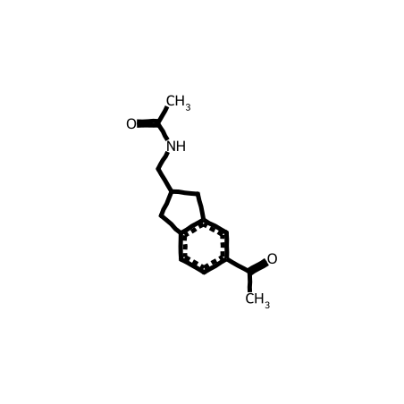 CC(=O)NCC1Cc2ccc(C(C)=O)cc2C1